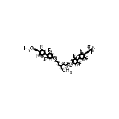 CC#Cc1c(F)cc(-c2c(F)cc(OCCCC(CC)CCCOc3cc(F)c(-c4cc(F)c(C#CC(F)(F)F)c(F)c4)c(F)c3)cc2F)cc1F